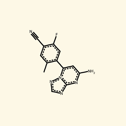 Cc1cc(C#N)c(F)cc1-c1cc(N)nc2ncnn12